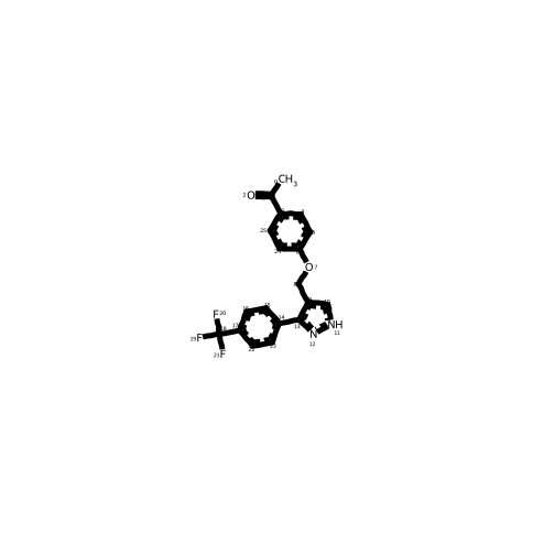 CC(=O)c1ccc(OCc2c[nH]nc2-c2ccc(C(F)(F)F)cc2)cc1